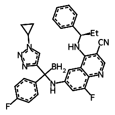 BC(Nc1cc(F)c2ncc(C#N)c(N[C@H](CC)c3ccccc3)c2c1)(c1ccc(F)cc1)c1cn(C2CC2)nn1